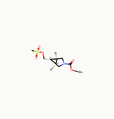 CC(C)(C)OC(=O)N1C[C@@H]2[C@@H](COS(C)(=O)=O)[C@@H]2C1